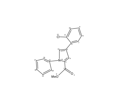 COC(=O)c1cc(-c2ccccc2Cl)cn1-c1ccccc1